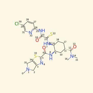 CN1Cc2nc(C(=O)N[C@@H]3C[C@@H](C(=O)N(C)C)CC[C@@H]3NC(=S)C(=O)Nc3ccc(Cl)cn3)sc2C1